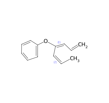 C=C/C=C(\C=C/C)Oc1ccccc1